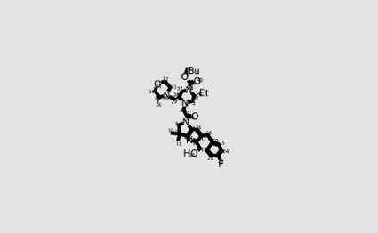 CC[C@@H]1CN(CC(=O)N2CC(C)(C)c3nc(CO)c(Cc4ccc(F)cc4)cc32)[C@@H](CN2CCOC[C@H]2C)CN1C(=O)OC(C)(C)C